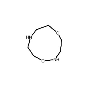 C1COCCNOCCN1